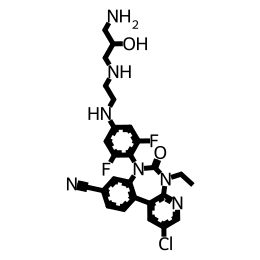 CCN1C(=O)N(c2c(F)cc(NCCNCC(O)CN)cc2F)c2cc(C#N)ccc2-c2cc(Cl)cnc21